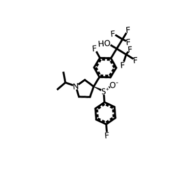 CC(C)N1CC[C@](c2ccc(C(O)(C(F)(F)F)C(F)(F)F)c(F)c2)([S+]([O-])c2ccc(F)cc2)C1